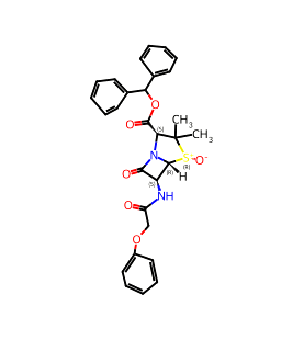 CC1(C)[C@H](C(=O)OC(c2ccccc2)c2ccccc2)N2C(=O)[C@H](NC(=O)COc3ccccc3)[C@H]2[S@@+]1[O-]